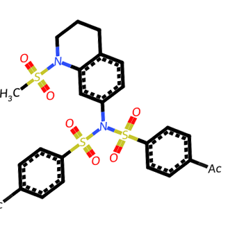 CC(=O)c1ccc(S(=O)(=O)N(c2ccc3c(c2)N(S(C)(=O)=O)CCC3)S(=O)(=O)c2ccc(C(C)=O)cc2)cc1